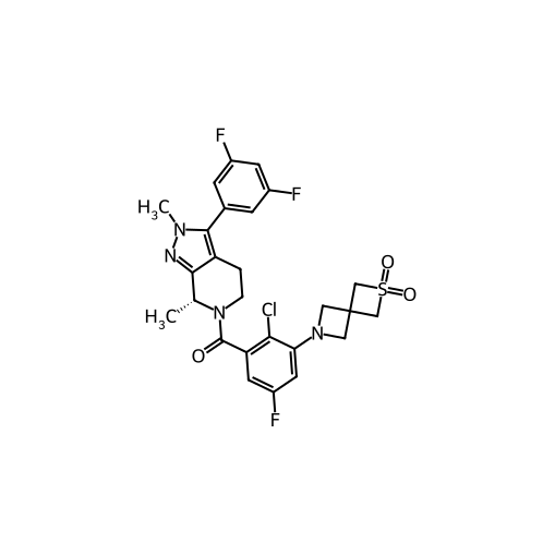 C[C@@H]1c2nn(C)c(-c3cc(F)cc(F)c3)c2CCN1C(=O)c1cc(F)cc(N2CC3(C2)CS(=O)(=O)C3)c1Cl